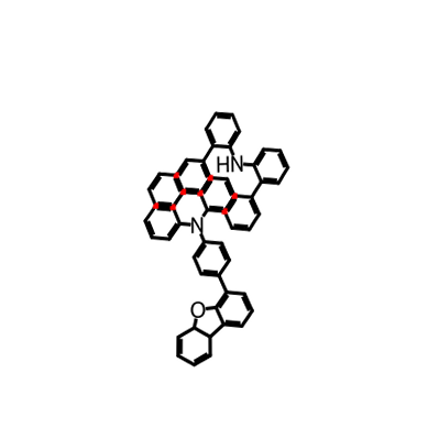 C1=CC2Oc3c(-c4ccc(N(c5ccccc5-c5ccccc5)c5ccccc5-c5ccc(-c6ccccc6Nc6ccccc6-c6ccccc6)cc5)cc4)cccc3C2C=C1